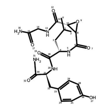 CC(C)C[C@H](NC(=O)C1O[C@H]1C(=O)NCC(N)=O)C(=O)N[C@@H](Cc1ccc(O)cc1)C(N)=O